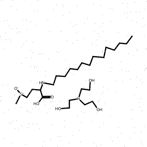 CCCCCCCCCCCCCCNC(CC[S+](C)[O-])C(=O)O.OCCN(CCO)CCO